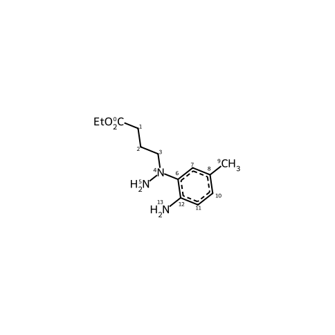 CCOC(=O)CCCN(N)c1cc(C)ccc1N